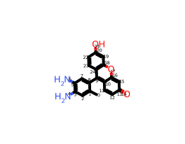 Cc1cc(N)c(N)cc1-c1c2ccc(=O)cc-2oc2cc(O)ccc12